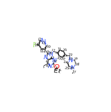 CCOc1nc(C)c2nc(-c3cncc(F)c3)n(Cc3ccc(CN4CCN(C)CC4)cc3)c2n1